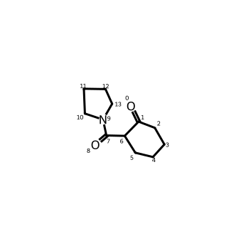 O=C1CCCCC1C(=O)N1CCCC1